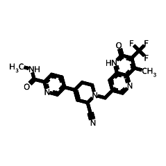 CNC(=O)c1ccc(C2=CC(C#N)N(Cc3cnc4c(C)c(C(F)(F)F)c(=O)[nH]c4c3)CC2)cn1